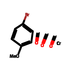 COc1ccc(Br)cc1.[C]=O.[C]=O.[C]=O.[Cr]